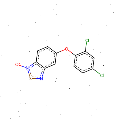 [O-][n+]1snc2cc(Oc3ccc(Cl)cc3Cl)ccc21